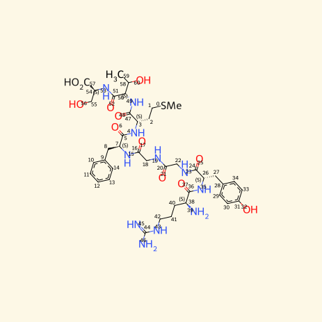 CSCC[C@H](NC(=O)[C@H](Cc1ccccc1)NC(=O)CNC(=O)CNC(=O)[C@H](Cc1ccc(O)cc1)NC(=O)[C@@H](N)CCCNC(=N)N)C(=O)N[C@H](C(=O)N[C@@H](CO)C(=O)O)C(C)O